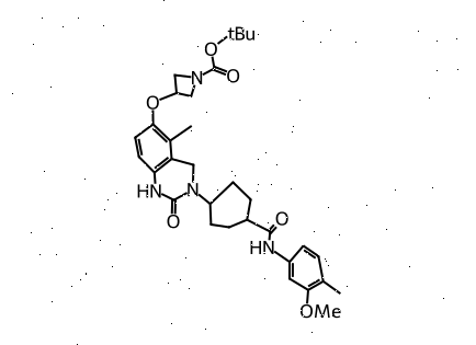 COc1cc(NC(=O)C2CCC(N3Cc4c(ccc(OC5CN(C(=O)OC(C)(C)C)C5)c4C)NC3=O)CC2)ccc1C